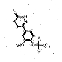 COc1cc(C2=NNC(=O)SC2)ccc1OC(Cl)(Cl)C(Cl)(Cl)Cl